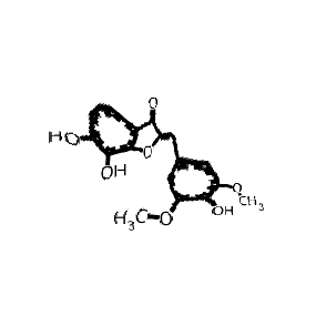 COc1cc(/C=C2\Oc3c(ccc(O)c3O)C2=O)cc(OC)c1O